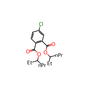 CCCC(CC)OC(=O)c1ccc(Cl)cc1C(=O)OC(CC)CCC